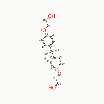 CCC(C)(c1ccc(OCCO)cc1)c1ccc(OCCO)cc1